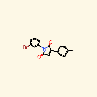 Cc1ccc(C2=CC(=O)N(c3cccc(Br)c3)C2=O)cc1